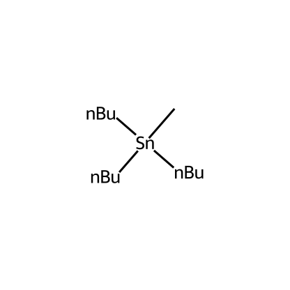 CCC[CH2][Sn]([CH3])([CH2]CCC)[CH2]CCC